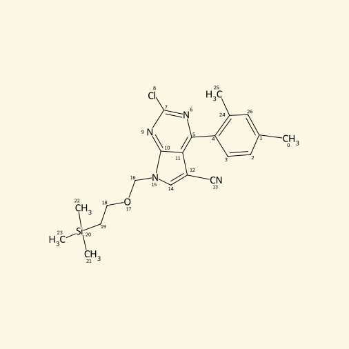 Cc1ccc(-c2nc(Cl)nc3c2c(C#N)cn3COCC[Si](C)(C)C)c(C)c1